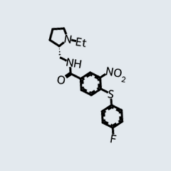 CCN1CCC[C@H]1CNC(=O)c1ccc(Sc2ccc(F)cc2)c([N+](=O)[O-])c1